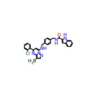 Bc1cnn2c(NCc3ccc(CNC(=O)c4cc5ccccc5[nH]4)cc3)cc(-c3ccccc3Cl)nc12